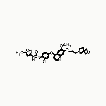 COc1cc2c(Oc3ccc(NC(=O)Nc4cc(C)on4)c(Cl)c3)ccnc2cc1OCCCN1CCC2(COC2)C1